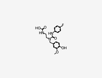 COc1cc(CN(CCNC(=O)O)C(=O)Nc2ccc(F)cc2)ccc1O